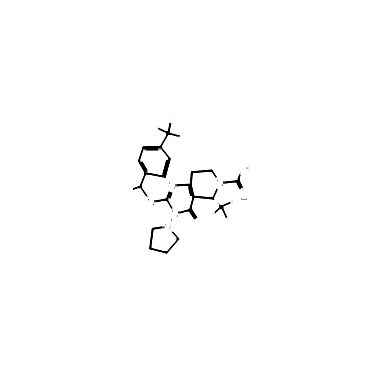 CC(Nc1nc2c(c(=O)n1N1CCCC1)[C@H](C(C)(C)C)N(C(=O)O)CC2)c1ccc(C(F)(F)F)cc1